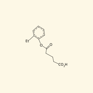 CCc1ccccc1OC(=O)CCCC(=O)O